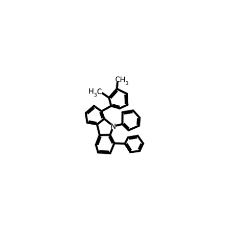 Cc1cccc(-c2cccc3c4cccc(-c5ccccc5)c4n(-c4ccccc4)c23)c1C